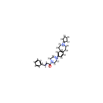 O=C(/C=C/c1ccccc1)N1CCN(c2ccc3c(c2)CCN(C2CCCC2)CC3)CC1